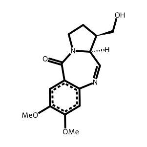 COc1cc2c(cc1OC)C(=O)N1CC[C@@H](CO)[C@H]1C=N2